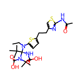 CCN(c1ccc(CCc2csc(NC(C)=O)n2)s1)[C@](NC(=O)O)(N(C(=O)O)C(C)(C)C)C(C)(C)C